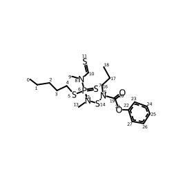 CCCCCSP(=S)(N(C)C=S)N(C)SN(CCC)C(=O)Oc1ccccc1